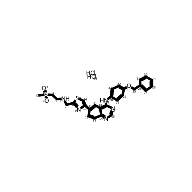 CS(=O)(=O)CCNCc1nc(-c2ccc3ncnc(Nc4ccc(OCc5ccccc5)cc4)c3c2)cs1.Cl.Cl